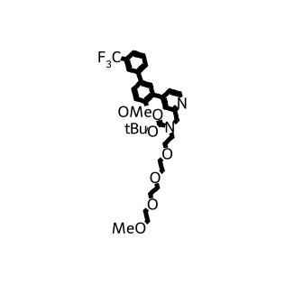 COCCOCCOCCOCCN(Cc1cc(-c2cc(-c3cccc(C(F)(F)F)c3)ccc2OC)ccn1)C(=O)OC(C)(C)C